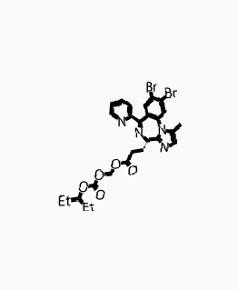 CCC(CC)OC(=O)OCOC(=O)CC[C@@H]1N=C(c2ccccn2)c2cc(Br)c(Br)cc2-n2c(C)cnc21